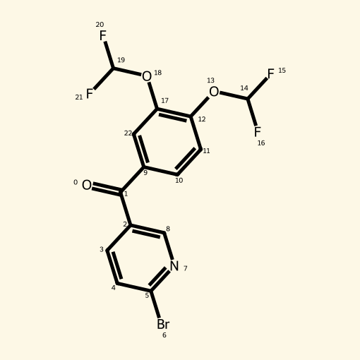 O=C(c1ccc(Br)nc1)c1ccc(OC(F)F)c(OC(F)F)c1